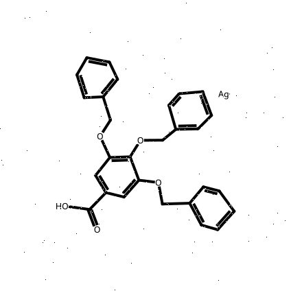 O=C(O)c1cc(OCc2ccccc2)c(OCc2ccccc2)c(OCc2ccccc2)c1.[Ag]